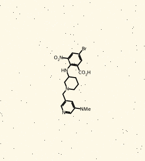 CNc1cncc(CN2CCCC(Nc3c(C(=O)O)cc(Br)cc3[N+](=O)[O-])C2)c1